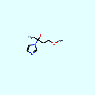 CCCOCCC(C)(O)n1ccnc1